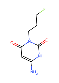 Nc1cc(=O)n(CCCF)c(=O)[nH]1